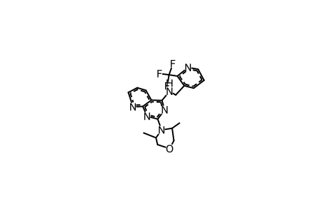 CC1COCC(C)N1c1nc(NCc2cccnc2C(F)(F)F)c2cccnc2n1